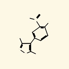 Cc1n[nH]c(C)c1-c1ccc(N)c([N+](=O)[O-])c1